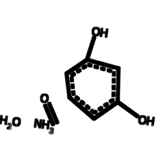 C=O.N.O.Oc1cccc(O)c1